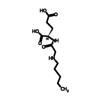 CCCCCNCC(=O)N[C@@H](CCC(=O)O)C(=O)O